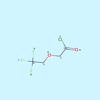 O=C(Cl)COCC(F)(F)F